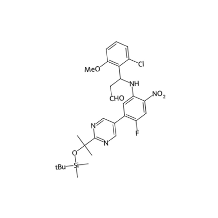 COc1cccc(Cl)c1C(CC=O)Nc1cc(-c2cnc(C(C)(C)O[Si](C)(C)C(C)(C)C)nc2)c(F)cc1[N+](=O)[O-]